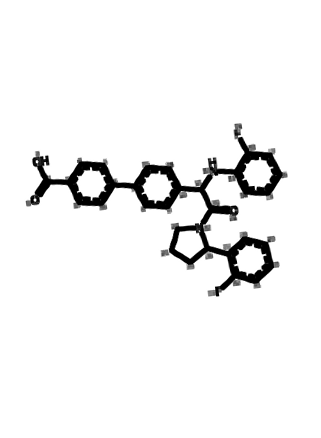 O=C(O)c1ccc(-c2ccc(C(Nc3ccccc3F)C(=O)N3CCCC3c3ccccc3F)cc2)cc1